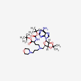 CC(C)(C)OC(=O)NC(CCN(CCCN1CCOCC1)C[C@H]1O[C@@H](n2cnc3c(N)ncnc32)[C@@H]2OC(C)(C)O[C@@H]21)C(=O)OC(C)(C)C